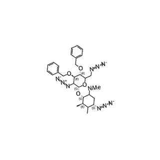 CNC1C[C@H](N=[N+]=[N-])C(C)[C@@H](C)[C@@H]1O[C@H]1OC(CN=[N+]=[N-])[C@@H](OCc2ccccc2)[C@H](OCc2ccccc2)C1N=[N+]=[N-]